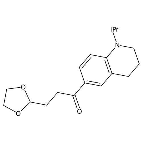 CC(C)N1CCCc2cc(C(=O)CCC3OCCO3)ccc21